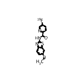 COc1ccc2nc(NC(=O)c3ccc([19F])cn3)sc2c1